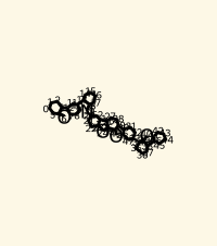 c1ccc2c(c1)oc1cc3c(cc12)c1ccccc1n3-c1ccc2oc3c(ccc4c5ccc(-c6cccc7c6oc6ccccc67)cc5oc43)c2c1